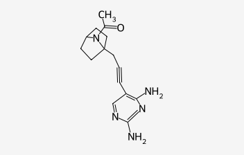 CC(=O)N1C2CCC1(CC#Cc1cnc(N)nc1N)CC2